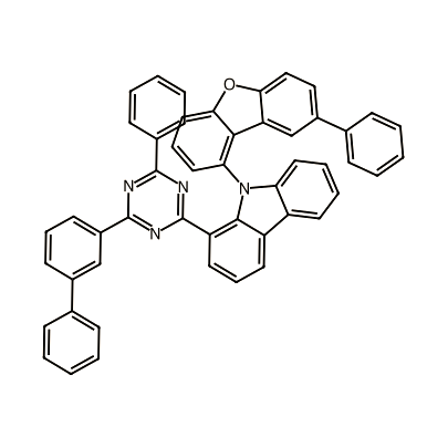 c1ccc(-c2cccc(-c3nc(-c4ccccc4)nc(-c4cccc5c6ccccc6n(-c6cccc7oc8ccc(-c9ccccc9)cc8c67)c45)n3)c2)cc1